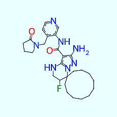 Nc1nn2c(c1C(=O)Nc1cnccc1CN1CCCC1=O)NCC(F)C21CCCCCCCCCC1